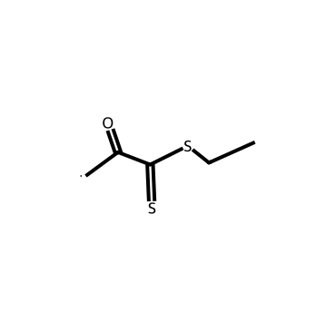 [CH2]C(=O)C(=S)SCC